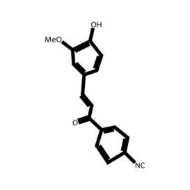 [C-]#[N+]c1ccc(C(=O)/C=C/c2ccc(O)c(OC)c2)cc1